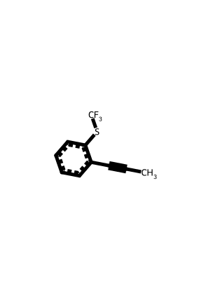 CC#Cc1ccccc1SC(F)(F)F